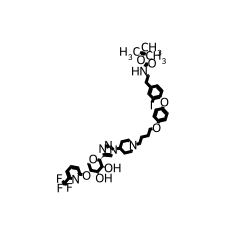 CC(C)(C)OC(=O)NCCc1ccc(Oc2ccc(OCCCCN3CCC(n4cc([C@H]5OC[C@H](Oc6cccc(C(F)(F)F)n6)[C@@H](O)[C@H]5O)nn4)CC3)cc2)c(I)c1